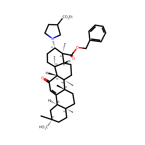 CCOC(=O)C1CCN([C@H]2CC[C@@]3(C)[C@@H](CC[C@]4(C)[C@@H]3C(=O)C=C3[C@@H]5C[C@@](C)(C(=O)O)CC[C@]5(C)CC[C@]34C)[C@]2(C)C(=O)OCc2ccccc2)C1